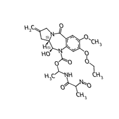 C=C1C[C@H]2[C@H](O)N(C(=O)OC(C)NC(=O)C(C)N=O)c3cc(OOCC)c(OC)cc3C(=O)N2C1